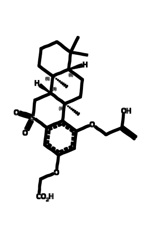 C=C(O)COc1cc(OCC(=O)O)cc2c1[C@]1(C)CC[C@H]3C(C)(C)CCC[C@]3(C)[C@H]1CS2(=O)=O